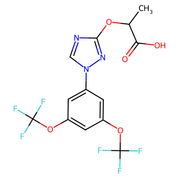 CC(Oc1ncn(-c2cc(OC(F)(F)F)cc(OC(F)(F)F)c2)n1)C(=O)O